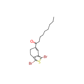 CCCCCCCCC(=O)C1=Cc2c(Br)sc(Br)c2CC1